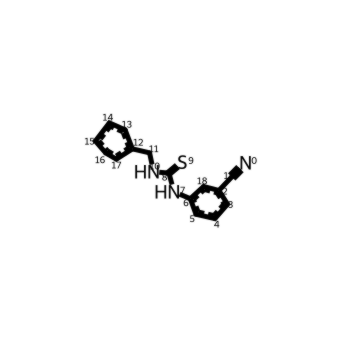 N#Cc1cccc(NC(=S)NCc2ccccc2)c1